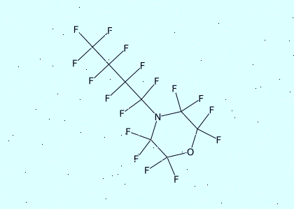 FC(F)(F)C(F)(F)C(F)(F)C(F)(F)N1C(F)(F)C(F)(F)OC(F)(F)C1(F)F